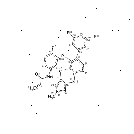 C=CC(=O)Nc1ccc(F)c(Nc2nc(Nc3cn(C)nc3Cl)ncc2-c2cc(F)cc(F)c2)c1